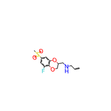 C=CCNCC1COc2c(F)cc(S(C)(=O)=O)cc2O1